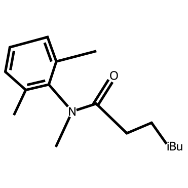 CCC(C)CCC(=O)N(C)c1c(C)cccc1C